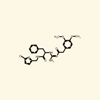 COc1ccc(CC(=O)N=C(N)NC(Cc2ccccc2)C(=O)NCc2ccc(Cl)s2)cc1OC